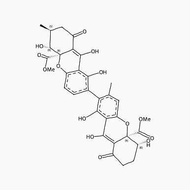 COC(=O)[C@@]12Oc3cc(C)c(-c4ccc5c(c4O)C(O)=C4C(=O)C[C@H](C)[C@@H](O)[C@]4(C(=O)OC)O5)c(O)c3C(O)=C1C(=O)CC[C@H]2O